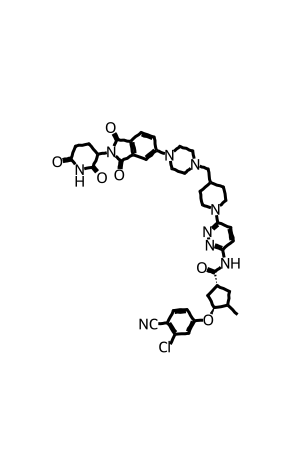 CC1C[C@@H](C(=O)Nc2ccc(N3CCC(CN4CCN(c5ccc6c(c5)C(=O)N(C5CCC(=O)NC5=O)C6=O)CC4)CC3)nn2)C[C@@H]1Oc1ccc(C#N)c(Cl)c1